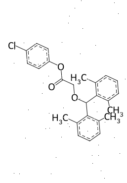 Cc1cccc(C)c1C(OCC(=O)Oc1ccc(Cl)cc1)c1c(C)cccc1C